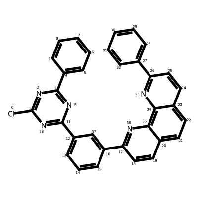 Clc1nc(-c2ccccc2)nc(-c2cccc(-c3ccc4ccc5ccc(-c6ccccc6)nc5c4n3)c2)n1